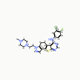 CN1CCN(CCn2ncc3c2CCc2c-3sc3ncnc(Nc4ccc(F)c(Cl)c4)c23)CC1